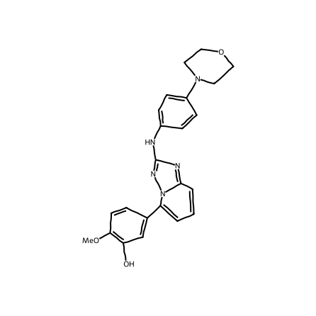 COc1ccc(-c2cccc3nc(Nc4ccc(N5CCOCC5)cc4)nn23)cc1O